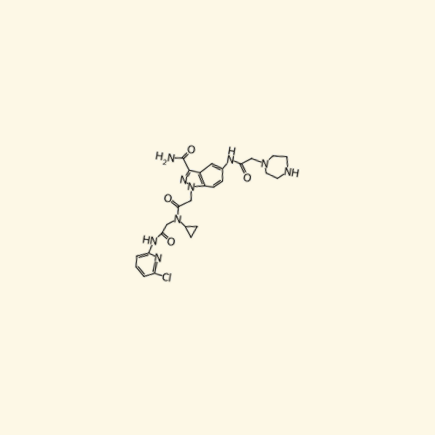 NC(=O)c1nn(CC(=O)N(CC(=O)Nc2cccc(Cl)n2)C2CC2)c2ccc(NC(=O)CN3CCNCC3)cc12